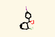 O=C(c1ccc(I)cc1)c1ccccc1Cl